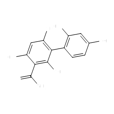 Cc1cc(O)ccc1-c1c(C)cc(C)c(C(N)=O)c1C